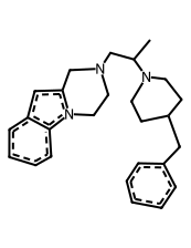 CC(CN1CCn2c(cc3ccccc32)C1)N1CCC(Cc2ccccc2)CC1